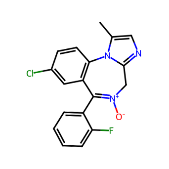 Cc1cnc2n1-c1ccc(Cl)cc1C(c1ccccc1F)=[N+]([O-])C2